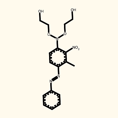 Cc1c(N=Nc2ccccc2)ccc(N(OCCO)OCCO)c1[N+](=O)[O-]